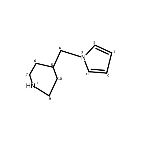 c1ccn(CC2CCNCC2)c1